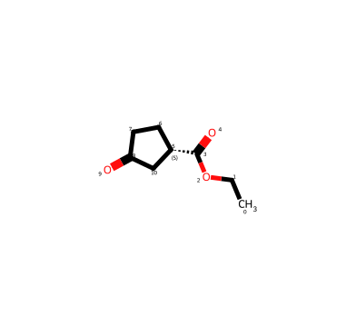 CCOC(=O)[C@H]1CCC(=O)C1